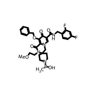 COCCN1C(=O)c2c(OCc3ccccc3)c(=O)c(C(=O)NCc3ccc(F)cc3F)cn2CC12CCN(B(C)O)CC2